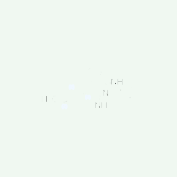 C\C=C/C=C\C=C\C(=N)N(C(=N)c1ccccc1)c1cccc2ccccc12